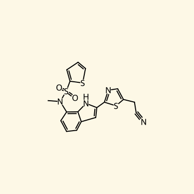 CN(c1cccc2cc(-c3ncc(CC#N)s3)[nH]c12)S(=O)(=O)c1cccs1